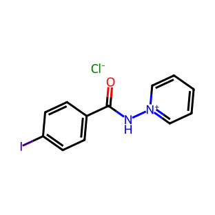 O=C(N[n+]1ccccc1)c1ccc(I)cc1.[Cl-]